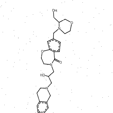 O=C1c2ccc(CN3CCOCC3CO)cc2OCCN1CC(O)CN1CCc2ccccc2C1